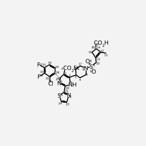 CCOC(=O)C1=C(C2CCN(S(=O)(=O)CC3=C(C)[C@H](C(=O)O)C3)CC2)NC(c2nccs2)=N[C@@H]1c1ccc(F)c(F)c1Cl